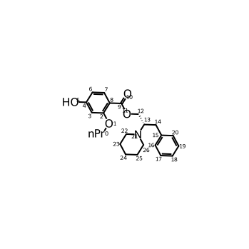 CCCOc1cc(O)ccc1C(=O)OC[C@H](Cc1ccccc1)N1CCCCC1